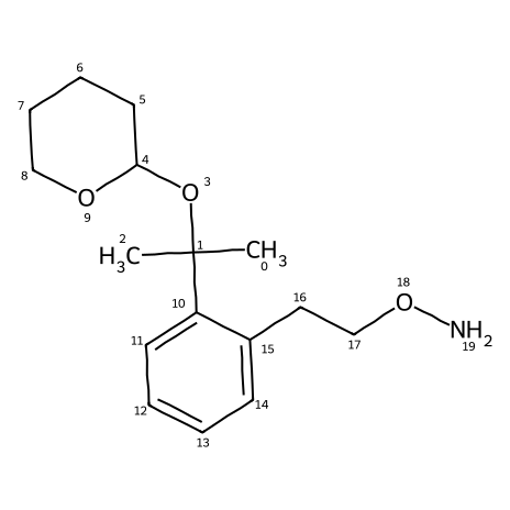 CC(C)(OC1CCCCO1)c1ccccc1CCON